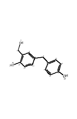 OCc1cc(Cc2ccc(O)cc2)ccc1O